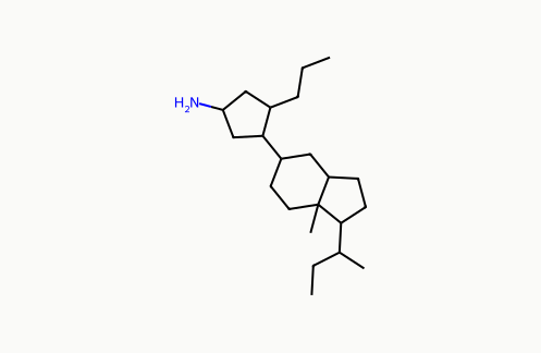 CCCC1CC(N)CC1C1CCC2(C)C(CCC2C(C)CC)C1